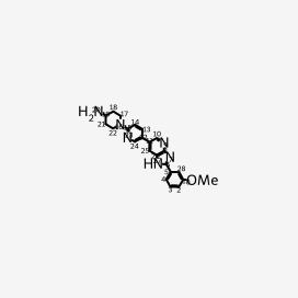 COc1cccc(-c2nc3ncc(-c4ccc(N5CCC(N)CC5)nc4)cc3[nH]2)c1